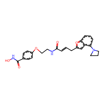 O=C(C=CCc1cc2c(N3CCC3)cccc2o1)NCCOc1ccc(C(=O)NO)cc1